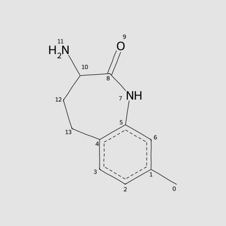 Cc1ccc2c(c1)NC(=O)C(N)CC2